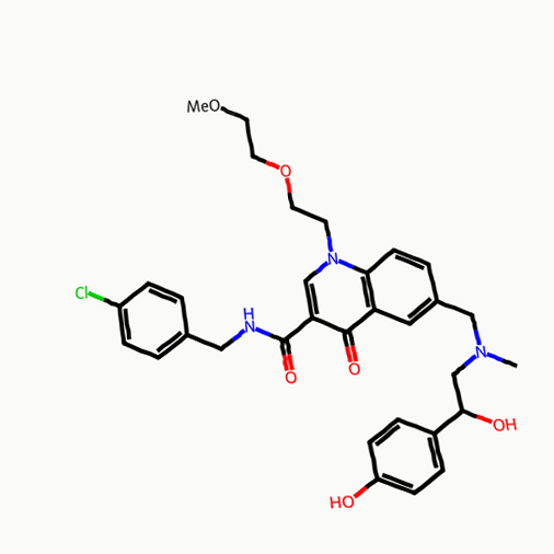 COCCOCCn1cc(C(=O)NCc2ccc(Cl)cc2)c(=O)c2cc(CN(C)CC(O)c3ccc(O)cc3)ccc21